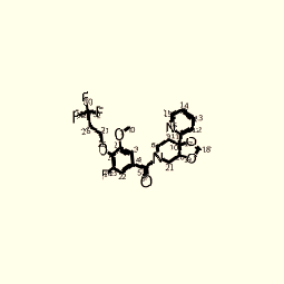 COc1cc(C(=O)N2CCC3(c4ccccn4)OCOC3C2)cc(F)c1OCCC(F)(F)F